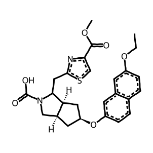 CCOc1ccc2ccc(O[C@H]3C[C@H]4CN(C(=O)O)C(Cc5nc(C(=O)OC)cs5)[C@H]4C3)cc2c1